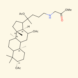 COC(=O)CNCCCC(C)(OC(C)=O)C1CC[C@]2(C)[C@@H]1C(OC(C)=O)CC1[C@@]3(C)CC[C@H](OC(C)=O)C(C)(C)C3CC[C@]12C